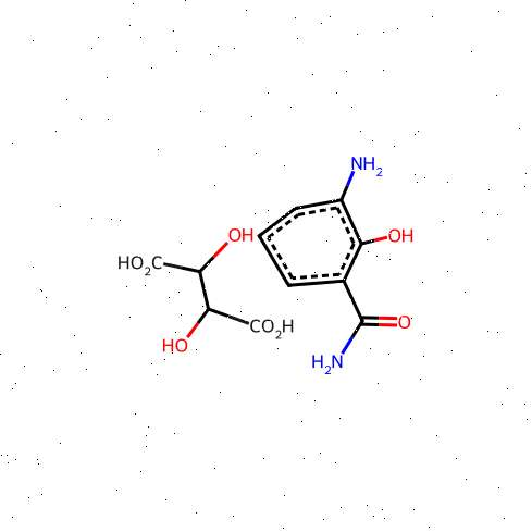 NC(=O)c1cccc(N)c1O.O=C(O)C(O)C(O)C(=O)O